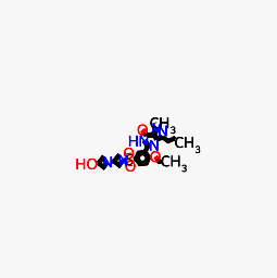 CCCc1nn(C)c2c(=O)[nH]c(-c3cc(S(=O)(=O)N4CC(N5CC(O)C5)C4)ccc3OCC)nc12